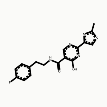 Cc1nc(-c2ncc(C(=O)NCCc3ccc(F)cc3)c(O)n2)cs1